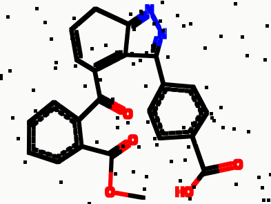 COC(=O)c1ccccc1C(=O)C1=C2C(=NN=C2c2ccc(C(=O)O)cc2)CC=C1